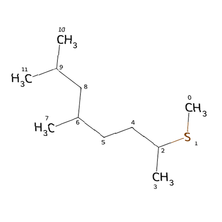 CSC(C)CCC(C)CC(C)C